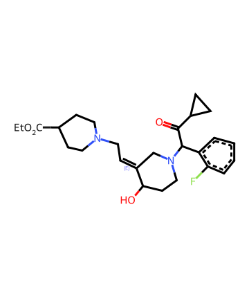 CCOC(=O)C1CCN(C/C=C2\CN(C(C(=O)C3CC3)c3ccccc3F)CCC2O)CC1